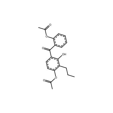 CCCc1c(OC(C)=O)ccc(C(=O)c2ccccc2OC(C)=O)c1O